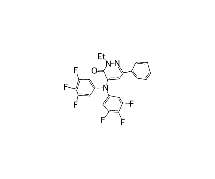 CCn1nc(-c2ccccc2)cc(N(c2cc(F)c(F)c(F)c2)c2cc(F)c(F)c(F)c2)c1=O